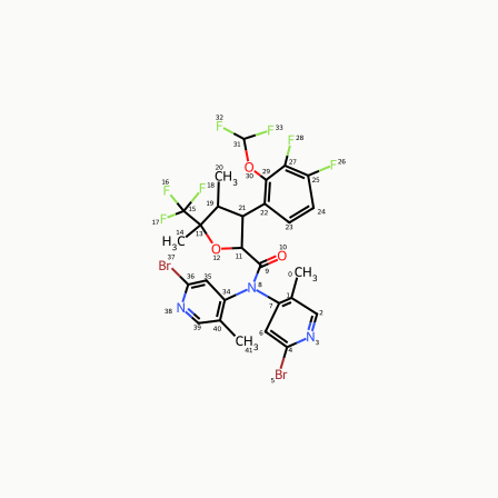 Cc1cnc(Br)cc1N(C(=O)C1OC(C)(C(F)(F)F)C(C)C1c1ccc(F)c(F)c1OC(F)F)c1cc(Br)ncc1C